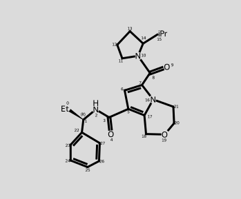 CC[C@@H](NC(=O)c1cc(C(=O)N2CCCC2C(C)C)n2c1COCC2)c1ccccc1